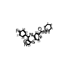 O=C(NN1CCCCC1)c1cc2c(cn1)Sc1cnoc1C(c1ccc(F)cc1)=N2